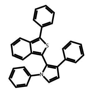 c1ccc(-c2ccn(-c3ccccc3)c2-c2sc(-c3ccccc3)c3ccccc23)cc1